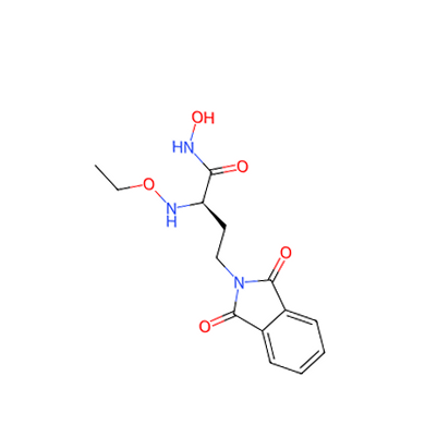 CCON[C@H](CCN1C(=O)c2ccccc2C1=O)C(=O)NO